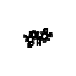 Cc1cc(Br)cc2c(Nc3ccc(F)c(Cl)c3)ncnc12